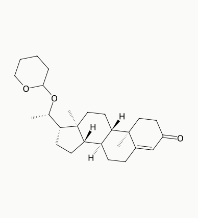 C[C@H](OC1CCCCO1)[C@H]1CC[C@H]2[C@@H]3CCC4=CC(=O)CC[C@]4(C)[C@H]3CC[C@]12C